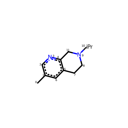 Cc1cnc2c(c1)CCN(C(C)C)C2